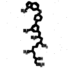 C/C(=C\c1cc(P)cc(N2CCN(Sc3ccc4ccn(C)c4c3)CC2)c1)CC(C)/C=C/CC(C)CCC(O)CC(=O)O